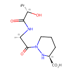 CC(C)[C@H](O)C(=O)N[C@@H](C)C(=O)N1CCC[C@@H](C(=O)O)N1